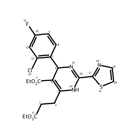 CCOC(=O)CCC1=C(C(=O)OCC)C(c2ccc(F)cc2Cl)N=C(c2nccs2)N1